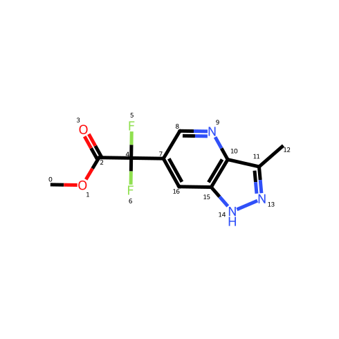 COC(=O)C(F)(F)c1cnc2c(C)n[nH]c2c1